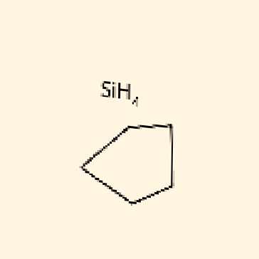 C1CCCC1.[SiH4]